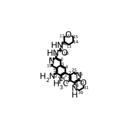 Cc1c(-c2cc3cc(NC(=O)N[C@@H]4CCCOC4)ncc3c(N)c2F)cnc2c1NCCO2